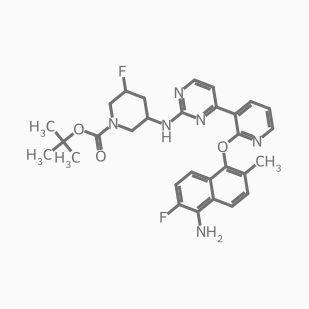 Cc1ccc2c(N)c(F)ccc2c1Oc1ncccc1-c1ccnc(NC2CC(F)CN(C(=O)OC(C)(C)C)C2)n1